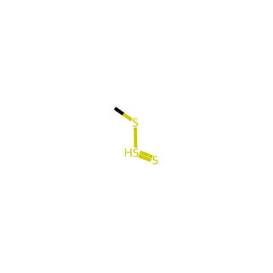 CS[SH]=S